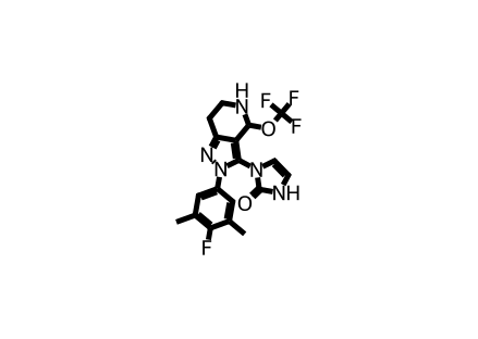 Cc1cc(-n2nc3c(c2-n2cc[nH]c2=O)C(OC(F)(F)F)NCC3)cc(C)c1F